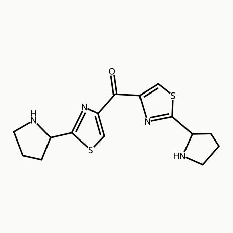 O=C(c1csc(C2CCCN2)n1)c1csc(C2CCCN2)n1